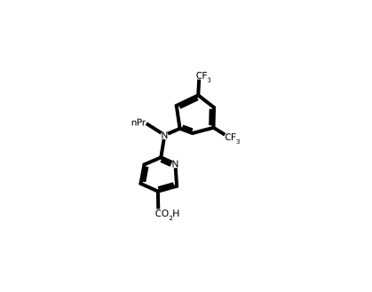 CCCN(c1cc(C(F)(F)F)cc(C(F)(F)F)c1)c1ccc(C(=O)O)cn1